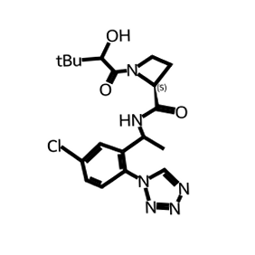 CC(NC(=O)[C@@H]1CCN1C(=O)C(O)C(C)(C)C)c1cc(Cl)ccc1-n1cnnn1